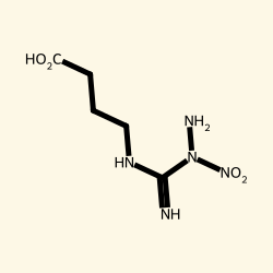 N=C(NCCCC(=O)O)N(N)[N+](=O)[O-]